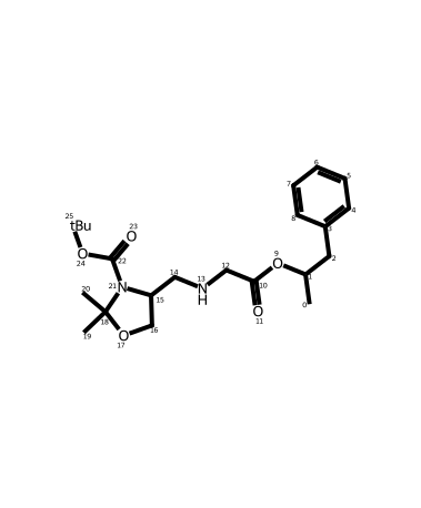 CC(Cc1ccccc1)OC(=O)CNCC1COC(C)(C)N1C(=O)OC(C)(C)C